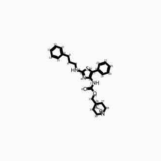 O=C(Nc1nc(NCCCc2ccccc2)sc1-c1ccccc1)OCC12CCN(CC1)CC2